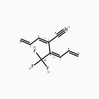 C=C/C=C(C#N)\C(=C/C=C)C(F)(F)F